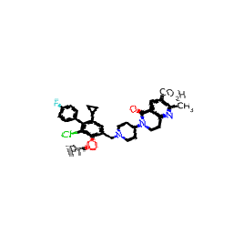 Cc1nc2c(cc1C(=O)O)C(=O)N(C1CCN(Cc3cc(C4CC4)c(-c4ccc(F)cc4)c(Cl)c3OC(C)C)CC1)CC2